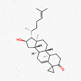 CC(C)=CCC[C@@H](C)[C@H]1[C@H](O)C[C@H]2[C@@H]3CC=C4C5(CC5)C(=O)CC[C@]4(C)[C@H]3CC[C@]12C